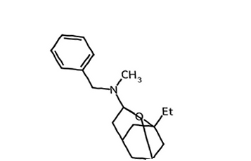 CCC12CC3CC(C1)CC(N(C)Cc1ccccc1)(C3)O2